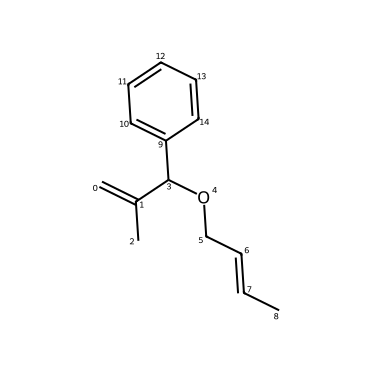 C=C(C)C(OCC=CC)c1ccccc1